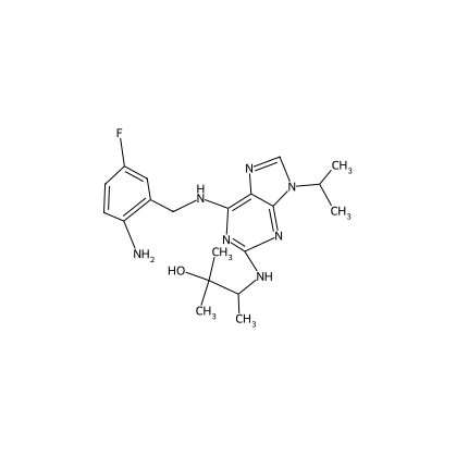 CC(C)n1cnc2c(NCc3cc(F)ccc3N)nc(NC(C)C(C)(C)O)nc21